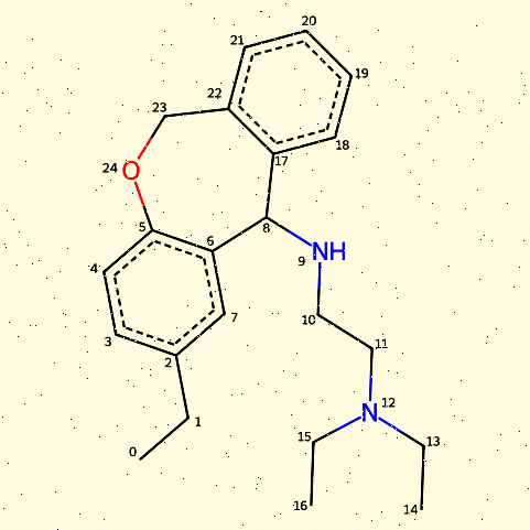 CCc1ccc2c(c1)C(NCCN(CC)CC)c1ccccc1CO2